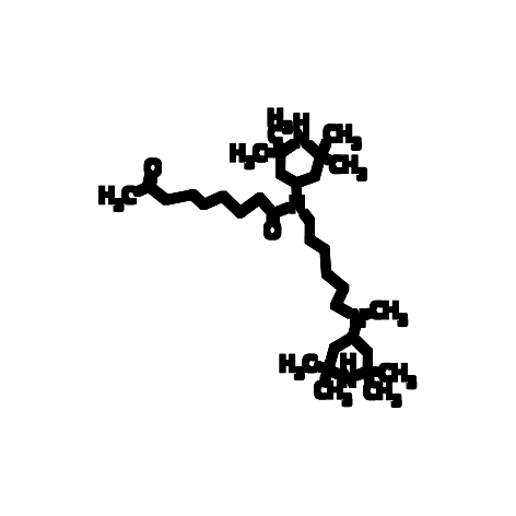 CC(=O)CCCCCCC(=O)N(CCCCCCN(C)C1CC(C)(C)NC(C)(C)C1)C1CC(C)(C)NC(C)(C)C1